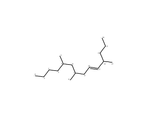 [CH2]CCCC(C)CC(C)C/C=C/C(C)CC[CH2]